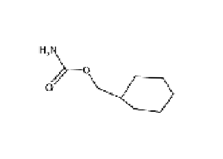 NC(=O)OCC1CCCCC1